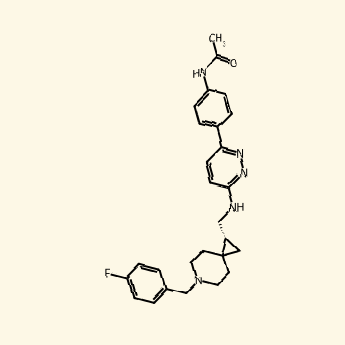 CC(=O)Nc1ccc(-c2ccc(NC[C@@H]3CC34CCN(Cc3ccc(F)cc3)CC4)nn2)cc1